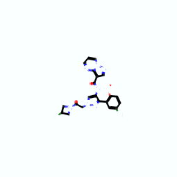 COc1ccc(Cl)cc1-c1nn(CC(=O)N2CC(F)C2)cc1NC(=O)c1cnn2cccnc12